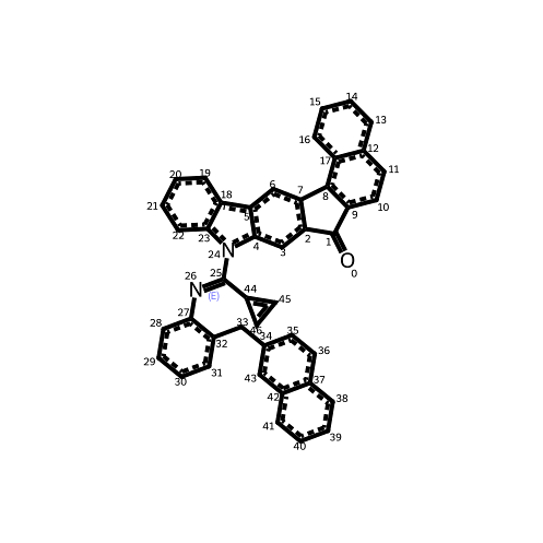 O=C1c2cc3c(cc2-c2c1ccc1ccccc21)c1ccccc1n3/C(=N/c1ccccc1Cc1ccc2ccccc2c1)C1=C=C1